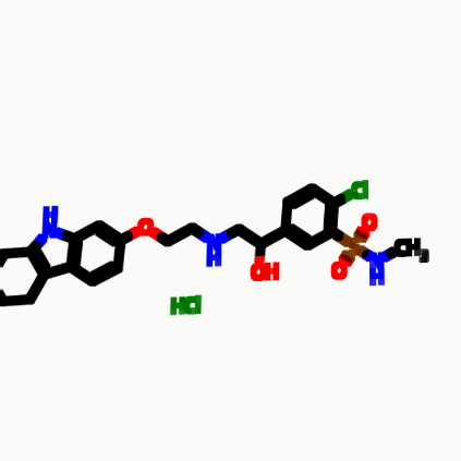 CNS(=O)(=O)c1cc(C(O)CNCCOc2ccc3c4c([nH]c3c2)CCCC4)ccc1Cl.Cl